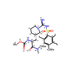 COc1cc(C)c(S(=O)(=O)NC(=N)N2CCC[C@@H](C[C@H](NC(=O)OC(C)(C)C)C(=O)N(C)OC)C2)c(C)c1C